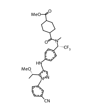 COC(=O)C1CCC(C(=O)N(C)[C@@H](c2ccc(Nc3cnn(-c4cccc(C#N)c4)c3[C@H](C)OC)cc2)C(F)(F)F)CC1